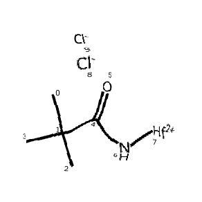 CC(C)(C)C(=O)[NH][Hf+2].[Cl-].[Cl-]